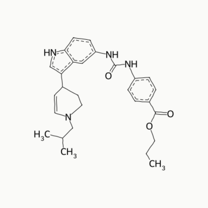 CCCOC(=O)c1ccc(NC(=O)Nc2ccc3[nH]cc(C4C=CN(CC(C)C)CC4)c3c2)cc1